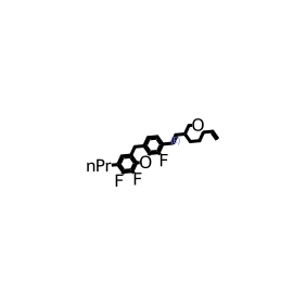 C=CC1CCC(/C=C/c2ccc3c(c2F)Oc2c(cc(CCC)c(F)c2F)C3)CO1